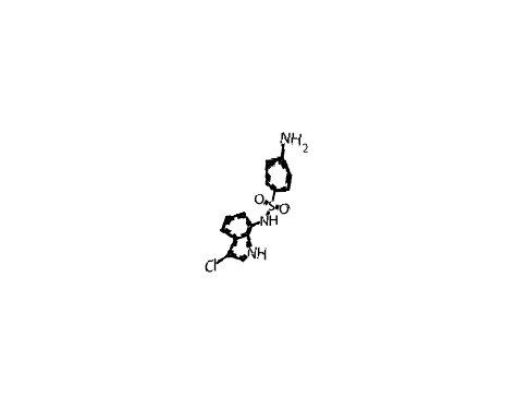 Nc1ccc(S(=O)(=O)Nc2cccc3c(Cl)c[nH]c23)cc1